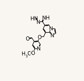 COc1cc(C=O)c(OCc2cc(C(=N)N=N)cn3ccnc23)cn1